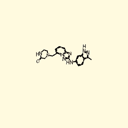 Cc1n[nH]c2cc(Nc3nc4cccc(CN5CCNC(=O)C5)n4n3)ccc12